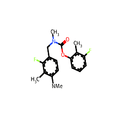 CNc1ccc(CN(C)C(=O)Oc2cccc(F)c2C)c(F)c1C